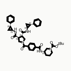 CC(C)(C)OC(=O)N1CCC[C@H](NC(=O)c2ccc(C(=O)N3C[C@@H](C(=O)N[C@H]4C[C@@H]4c4ccccc4)[C@H](C(=O)N[C@H]4C[C@@H]4c4ccccc4)C3)cc2)C1